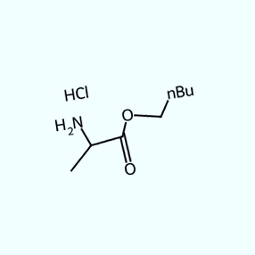 CCCCCOC(=O)C(C)N.Cl